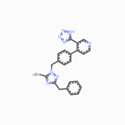 CCCCc1nc(Cc2ccccc2)nn1Cc1ccc(-c2ccncc2-c2nnn[nH]2)cc1